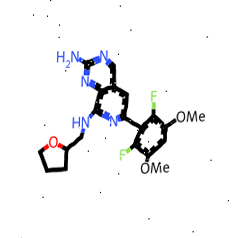 COc1cc(OC)c(F)c(-c2cc3cnc(N)nc3c(NCC3CCCO3)n2)c1F